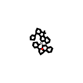 CC1(C)c2cccc(-c3ccccc3)c2-c2cc(N(c3ccc4ccccc4c3)c3ccccc3-c3ccccc3)c3ccccc3c21